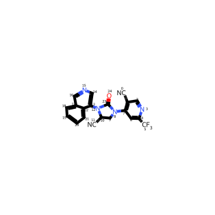 N#Cc1cnc(C(F)(F)F)cc1N1CC(C#N)N(c2cncc3ccccc23)C1=O